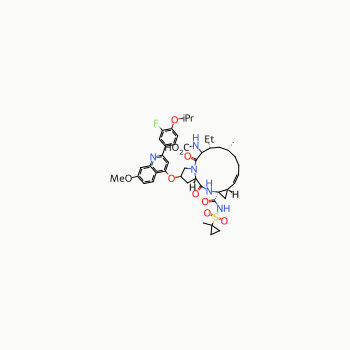 CC[C@@H]1C[C@H](C)CCC=C[C@@H]2C[C@@]2(C(=O)NS(=O)(=O)C2(C)CC2)NC(=O)[C@@H]2C[C@@H](Oc3cc(-c4ccc(OC(C)C)c(F)c4)nc4cc(OC)ccc34)CN2C(=O)[C@H]1NC(=O)O